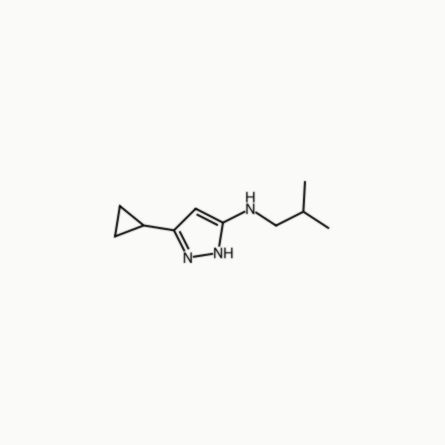 CC(C)CNc1cc(C2CC2)n[nH]1